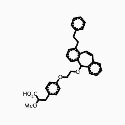 COC(Cc1ccc(OCCOC2c3ccccc3C=Cc3c(CCc4ccccc4)cccc32)cc1)C(=O)O